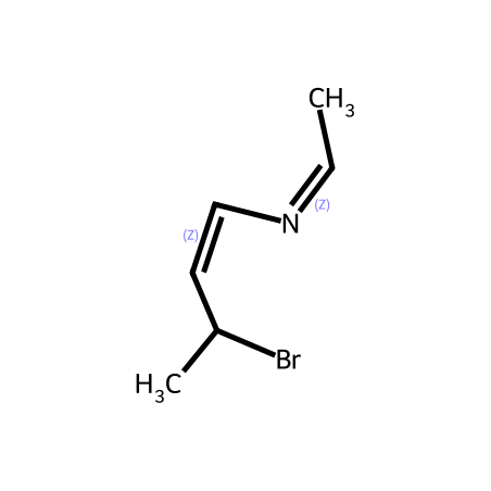 C/C=N\C=C/C(C)Br